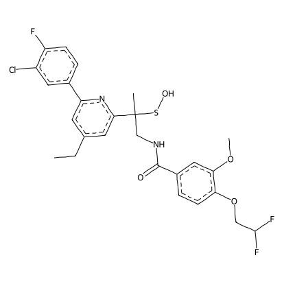 CCc1cc(-c2ccc(F)c(Cl)c2)nc(C(C)(CNC(=O)c2ccc(OCC(F)F)c(OC)c2)SO)c1